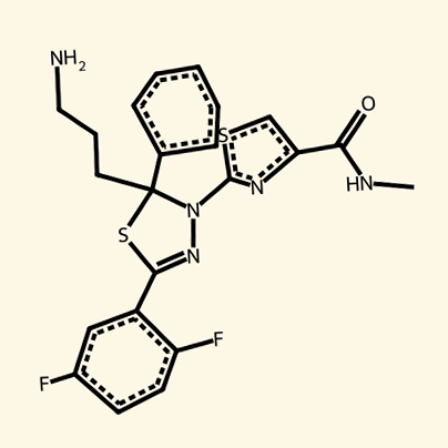 CNC(=O)c1csc(N2N=C(c3cc(F)ccc3F)SC2(CCCN)c2ccccc2)n1